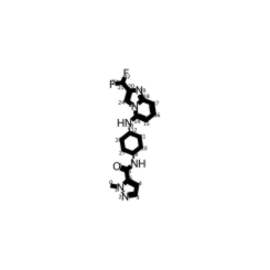 Cn1nccc1C(=O)N[C@H]1CC[C@@H](Nc2cccc3nc(C(F)F)cn23)CC1